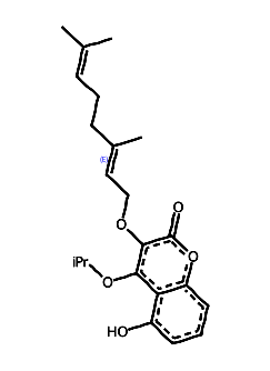 CC(C)=CCC/C(C)=C/COc1c(OC(C)C)c2c(O)cccc2oc1=O